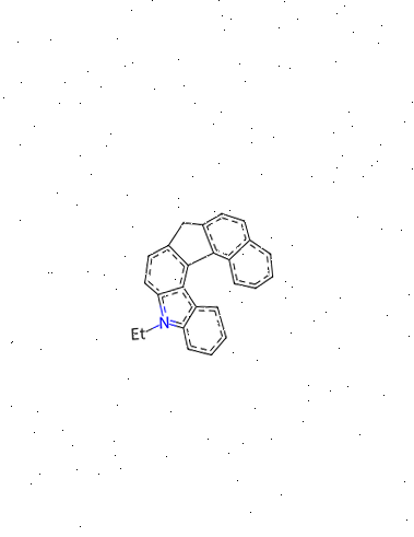 CCn1c2ccccc2c2c3c(ccc21)Cc1ccc2ccccc2c1-3